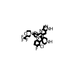 O=C(C[N+]1(C(=O)c2ccc3[nH]ncc3n2)C(=O)C2(CCNCC2)c2c1ccc(F)c2Cl)N1CCOC(C(F)(F)F)C1